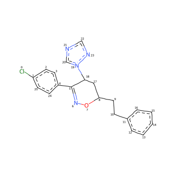 Clc1ccc(C2=NOC(CCc3ccccc3)CC2n2cncn2)cc1